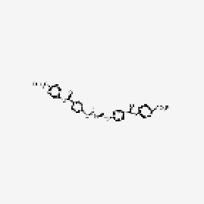 CCOC(=O)c1ccc(OC(=O)c2ccc(OP=NPOc3ccc(C(=O)Oc4ccc(C(=O)OCC)cc4)cc3)cc2)cc1